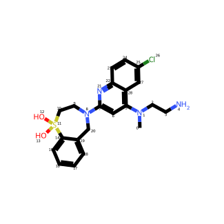 CN(CCN)c1cc(N2CCS(O)(O)c3ccccc3C2)nc2ccc(Cl)cc12